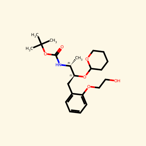 C[C@@H](NC(=O)OC(C)(C)C)[C@H](Cc1ccccc1OCCO)OC1CCCCO1